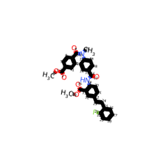 COC(=O)c1ccc(C(=O)N(C)c2ccc(C(=O)Nc3ccc(C=Cc4ccccc4F)cc3C(=O)OC)cc2)cc1